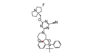 CC(C)(C)[Si](O[C@H]1COCCN(c2nc(C#N)nc(OC[C@@]34CCCN3C[C@H](F)C4)n2)C1)(c1ccccc1)c1ccccc1